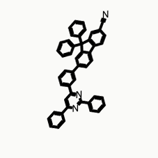 N#Cc1ccc2c(c1)C(c1ccccc1)(c1ccccc1)c1cc(-c3cccc(-c4cc(-c5ccccc5)nc(-c5ccccc5)n4)c3)ccc1-2